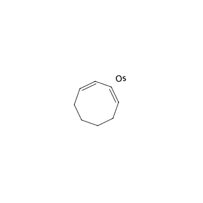 C1=C\CCCC\C=C/1.[Os]